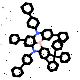 c1ccc(-c2ccc(N3c4ccc(-c5ccccc5)cc4B4c5cc6c(cc5N(c5ccc(-c7ccccc7)cc5)c5cc(-c7ccccc7)cc3c54)-c3ccccc3C6(c3ccccc3)c3ccccc3)cc2)cc1